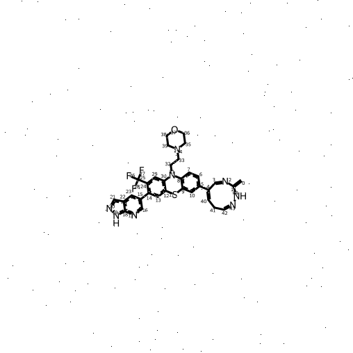 C=C1/N=C\C(c2ccc3c(c2)Sc2cc(-c4cnc5[nH]ncc5c4)c(C(F)(F)F)cc2N3CCN2CCOCC2)=C/C/C=N\N1